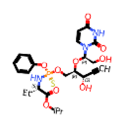 C#C[C@H](O)[C@@H](COP(=S)(N[C@@H](CC)C(=O)OC(C)C)Oc1ccccc1)O[C@H](CO)n1ccc(=O)[nH]c1=O